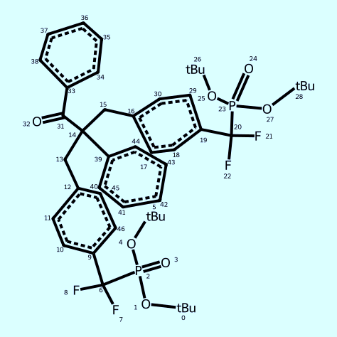 CC(C)(C)OP(=O)(OC(C)(C)C)C(F)(F)c1ccc(CC(Cc2ccc(C(F)(F)P(=O)(OC(C)(C)C)OC(C)(C)C)cc2)(C(=O)c2ccccc2)c2ccccc2)cc1